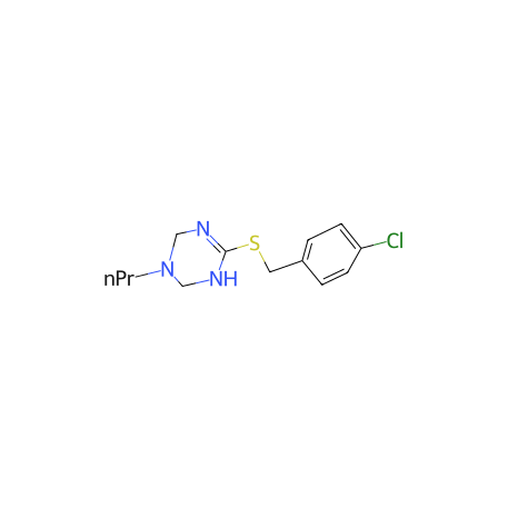 CCCN1CN=C(SCc2ccc(Cl)cc2)NC1